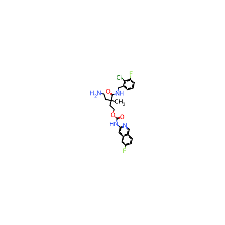 CC(CCN)(CCOC(=O)Nc1cc2cc(F)ccc2cn1)C(=O)NCc1cccc(F)c1Cl